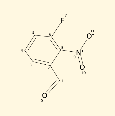 O=Cc1cccc(F)c1[N+](=O)[O-]